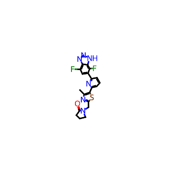 Cc1nc(CN2CCCC2=O)sc1-c1cccc(-c2cc(F)c3nn[nH]c3c2F)n1